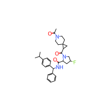 CC(=O)N1CCC2(CC1)CC2C(=O)N1CC(F)CC1C(=O)NC(c1ccccc1)c1ccc(C(C)C)cc1